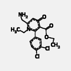 CCOC(=O)c1c(-c2ccc(Cl)c(Cl)c2)n(CC)c(CN)cc1=O